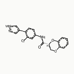 O=C(Nc1ccc(-c2cn[nH]c2)c(Cl)c1)[C@H]1COc2ccccc2O1